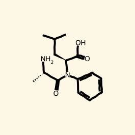 CC(C)C[C@@H](C(=O)O)N(C(=O)[C@H](C)N)c1ccccc1